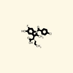 CCC[C@H](C(=O)O)c1c(C)n(C(=O)c2ccc(Cl)cc2)c2cc(F)c(O)cc12